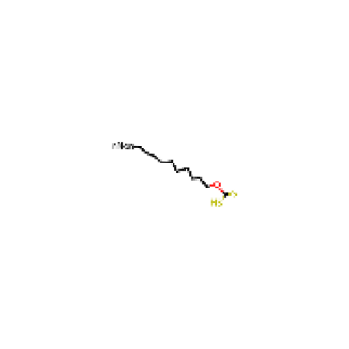 CCCCCCCCCCCCCCCCCCCOC(=S)S